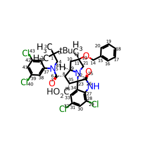 CC(C)(C)C(C)(C)CN(C(=O)[C@@H]1[C@H]2C[C@](C)(OCc3ccccc3)CN2[C@]2(C(=O)Nc3c(Cl)cc(Cl)cc32)[C@@H]1C(=O)O)c1cc(Cl)cc(Cl)c1